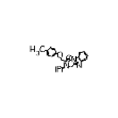 Cc1ccc(OCC(=O)N(Cc2nc3ccccc3[nH]2)C(C)C)cc1